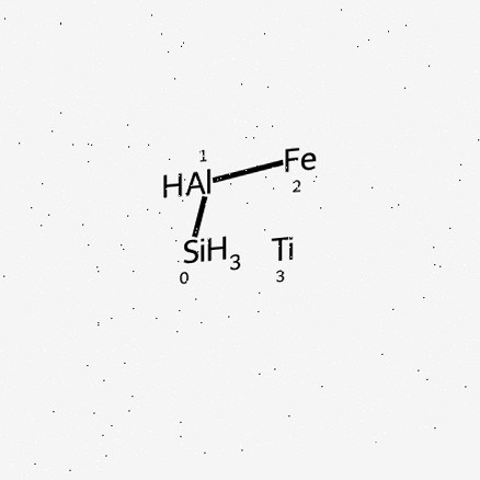 [SiH3][AlH][Fe].[Ti]